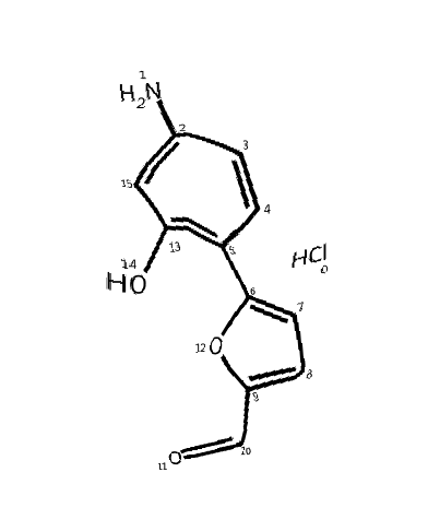 Cl.Nc1ccc(-c2ccc(C=O)o2)c(O)c1